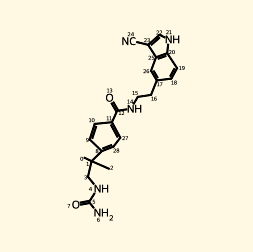 CC(C)(CNC(N)=O)c1ccc(C(=O)NCCc2ccc3[nH]cc(C#N)c3c2)cc1